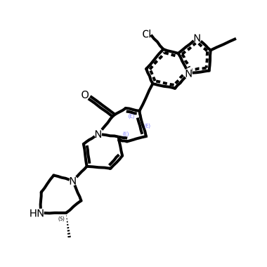 Cc1cn2cc(C3=C\C(=O)N4C=C(N5CCN[C@@H](C)C5)C=C\C4=C/C=C/3)cc(Cl)c2n1